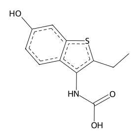 CCc1sc2cc(O)ccc2c1NC(=O)O